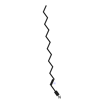 CCCCCCCCCCCC/C=C/C#N